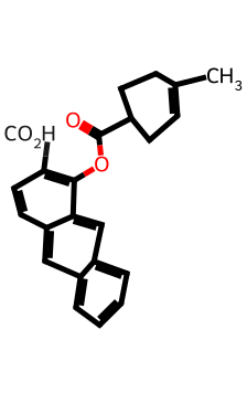 CC1=CCC(C(=O)Oc2c(C(=O)O)ccc3cc4ccccc4cc23)CC1